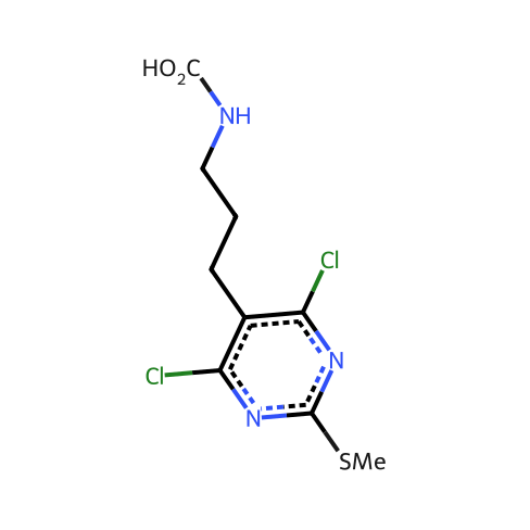 CSc1nc(Cl)c(CCCNC(=O)O)c(Cl)n1